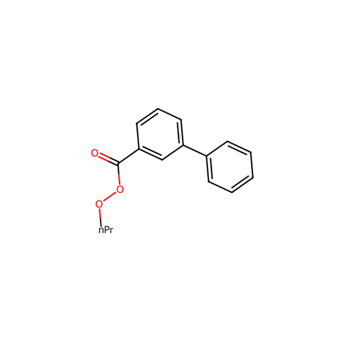 [CH2]CCOOC(=O)c1cccc(-c2ccccc2)c1